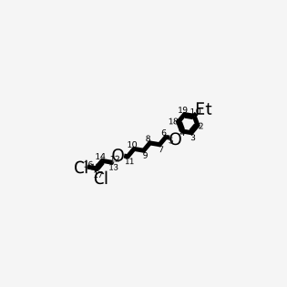 CCc1ccc(OCCCCCCOCC=C(Cl)Cl)cc1